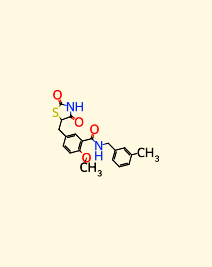 COc1ccc(CC2SC(=O)NC2=O)cc1C(=O)NCc1cccc(C)c1